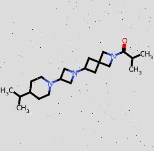 CC(C)C(=O)N1CC2(CC(N3CC(N4CCC(C(C)C)CC4)C3)C2)C1